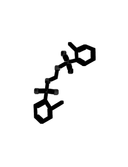 Cc1ccccc1S(=O)(=O)OCOS(=O)(=O)c1ccccc1C